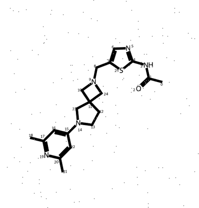 CC(=O)Nc1ncc(CN2CC3(CCN(c4cc(C)nc(C)c4)C3)C2)s1